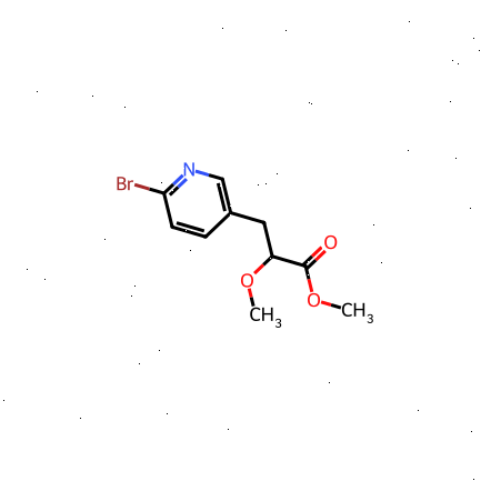 COC(=O)C(Cc1ccc(Br)nc1)OC